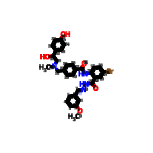 COc1cccc(/C=N/NC(=O)c2cc(Br)ccc2NC(=O)c2ccc(CN(C)CC(O)c3ccc(O)cc3)cc2)c1